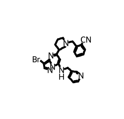 N#Cc1ccccc1CN1CCCC(c2cc(NCc3cccnc3)n3ncc(Br)c3n2)C1